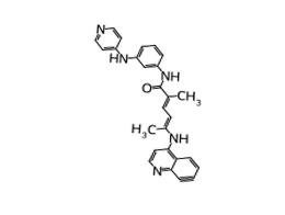 C/C(=C\C=C(/C)C(=O)Nc1cccc(Nc2ccncc2)c1)Nc1ccnc2c#cccc12